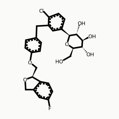 OC[C@H]1O[C@@H](c2ccc(Cl)c(Cc3ccc(OC[C@@H]4OCc5cc(F)ccc54)cc3)c2)[C@H](O)[C@@H](O)[C@@H]1O